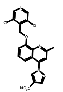 CCOC(=O)c1cnn(-c2cc(C)nc3c(OCc4c(Cl)cncc4Cl)cccc23)c1